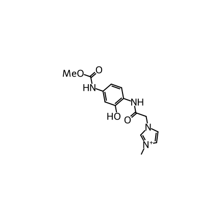 COC(=O)Nc1ccc(NC(=O)Cn2cc[n+](C)c2)c(O)c1